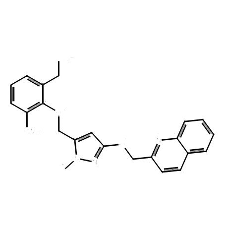 COc1cccc(CC(=O)O)c1OCc1cc(OCc2ccc3ccccc3n2)nn1C(C)C